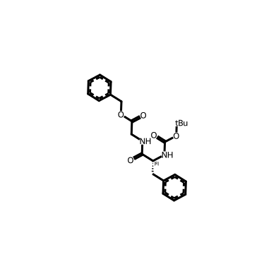 CC(C)(C)OC(=O)N[C@H](Cc1ccccc1)C(=O)NCC(=O)OCc1ccccc1